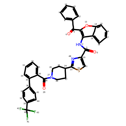 O=C(Nc1c(C(=O)c2ccccc2)oc2ccccc12)c1csc(C2CCN(C(=O)c3ccccc3-c3ccc(C(F)(F)F)cc3)CC2)n1